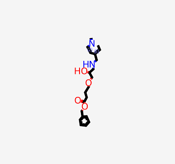 C=N/C=C\C(=C/C)CNCC(O)COCCCC(=O)OCc1ccccc1